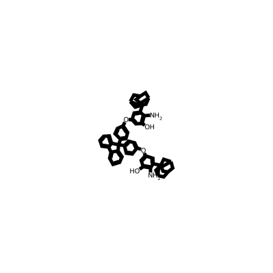 Nc1c(O)cc(Oc2ccc(C3(c4ccc(Oc5cc(O)c(N)c(C67CC8CC(CC(C8)C6)C7)c5)cc4)c4ccccc4-c4ccccc43)cc2)cc1C12CC3CC(CC(C3)C1)C2